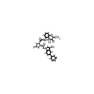 CC(=O)c1cn(CC(=O)N2C[C@H](F)C[C@H]2C2OC2Nc2cccc3c2NC(=O)C(C)O3)c2ccc(-c3ccnnc3)cc12